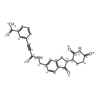 CC(=O)c1cccc(C#CC(=O)NCc2ccc3c(c2)CN(C2CCC(=O)NC2=O)C3=O)c1